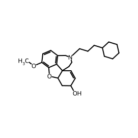 COc1ccc2c3c1OC1CC(O)C=CC31CCN(CCCC1CCCCC1)C2